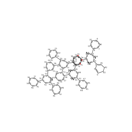 C1=CC(c2nc(-c3ccccc3)nc(-c3ccc(-c4cc(-c5ccccc5)c(-c5cccc(-c6cc(-c7ccccc7)cc(-c7ccccc7)n6)c5)c(-c5ccccc5-c5nc(-c6ccccc6)cc(-c6ccccc6)n5)c4)cc3)n2)=CCC1